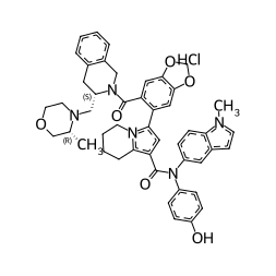 C[C@@H]1COCCN1C[C@@H]1Cc2ccccc2CN1C(=O)c1cc2c(cc1-c1cc(C(=O)N(c3ccc(O)cc3)c3ccc4c(ccn4C)c3)c3n1CCCC3)OCO2.Cl